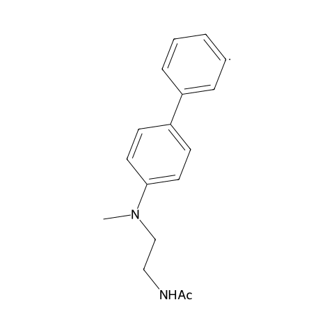 CC(=O)NCCN(C)c1ccc(-c2c[c]ccc2)cc1